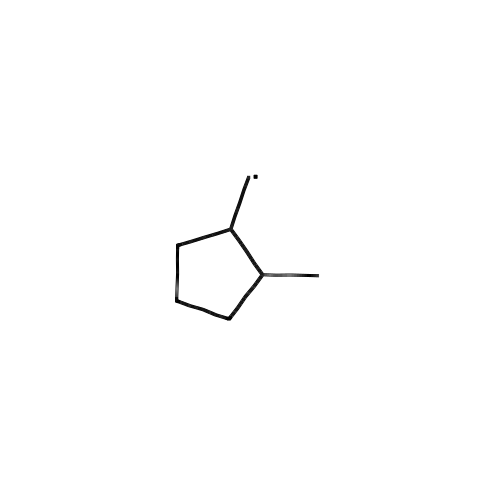 [CH2]C1CCCC1C